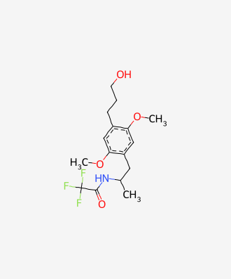 COc1cc(CC(C)NC(=O)C(F)(F)F)c(OC)cc1CCCO